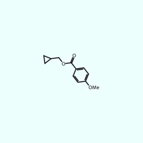 COc1ccc(C(=O)OCC2CC2)cc1